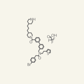 O=C(Cc1ccc(Br)cc1)N(CCc1cccs1)Cc1cccc(-c2cccc(C(=O)N3CCC(CCCC4CCNCC4)CC3)c2)c1.O=C(O)C(F)(F)F